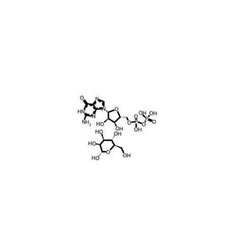 Nc1nc2c(ncn2[C@@H]2O[C@H](COP(=O)(O)OP(=O)(O)O)[C@@H](O)[C@H]2O)c(=O)[nH]1.OC[C@H]1O[C@H](O)[C@@H](O)[C@@H](O)[C@@H]1O